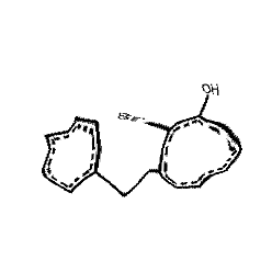 Oc1cccc(Cc2ccccc2)c1Br